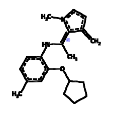 C=c1ccn(C)/c1=C(/C)Nc1ccc(C)cc1OC1CCCC1